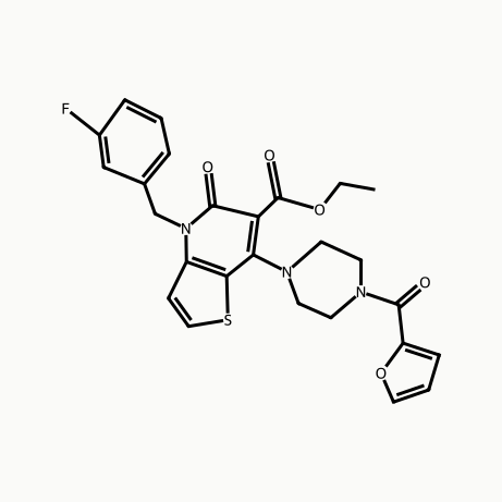 CCOC(=O)c1c(N2CCN(C(=O)c3ccco3)CC2)c2sccc2n(Cc2cccc(F)c2)c1=O